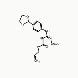 C=CCOC(=O)N/C(=N\CCCCCCCCC)Nc1ccc(C2OCCO2)cc1